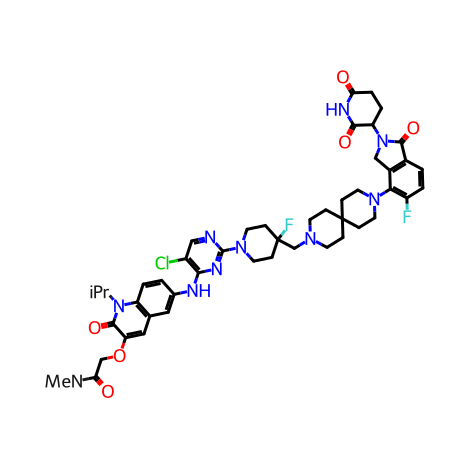 CNC(=O)COc1cc2cc(Nc3nc(N4CCC(F)(CN5CCC6(CC5)CCN(c5c(F)ccc7c5CN(C5CCC(=O)NC5=O)C7=O)CC6)CC4)ncc3Cl)ccc2n(C(C)C)c1=O